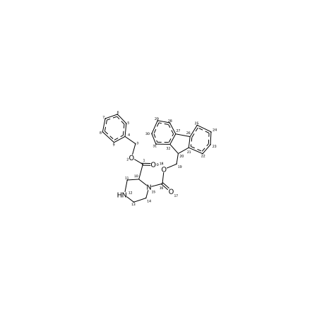 O=C(OCc1ccccc1)C1CNCCN1C(=O)OCC1c2ccccc2-c2ccccc21